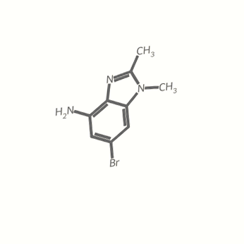 Cc1nc2c(N)cc(Br)cc2n1C